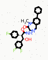 CN1C(=O)[C@@H](NC(=O)[C@@H](c2ccc(F)cc2)[C@H](O)c2ccc(F)c(F)c2)N=Cc2ccc(-c3ccccc3)cc21